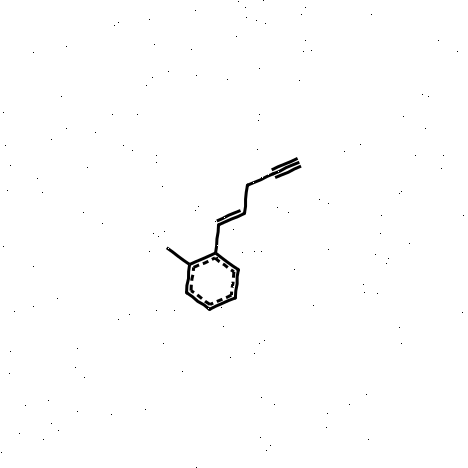 C#CCC=Cc1ccccc1C